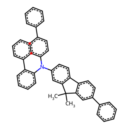 CC1(C)c2cc(-c3ccccc3)ccc2-c2ccc(N(c3ccc(-c4ccccc4)cc3)c3ccccc3-c3ccccc3)cc21